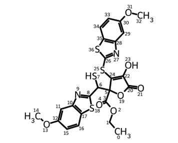 CCOC(=O)C1(C(S)c2nc3cc(OC)ccc3s2)OC(=O)C(O)=C1Sc1nc2cc(OC)ccc2s1